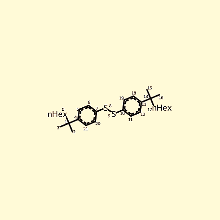 CCCCCCC(C)(C)c1ccc(SSc2ccc(C(C)(C)CCCCCC)cc2)cc1